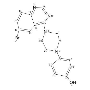 Oc1ccc(N2CCN(c3ncnc4ccc(Br)cc34)CC2)cc1